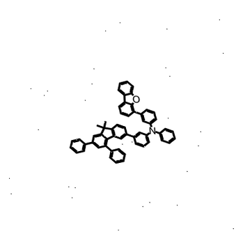 CC1(C)c2ccc(-c3cccc(N(c4ccccc4)c4cccc(-c5cccc6c5oc5ccccc56)c4)c3)cc2-c2c(-c3ccccc3)cc(-c3ccccc3)cc21